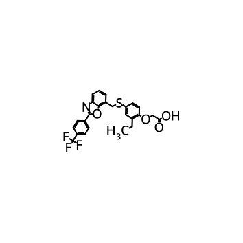 CCc1cc(SCc2cccc3nc(-c4ccc(C(F)(F)F)cc4)oc23)ccc1OCC(=O)O